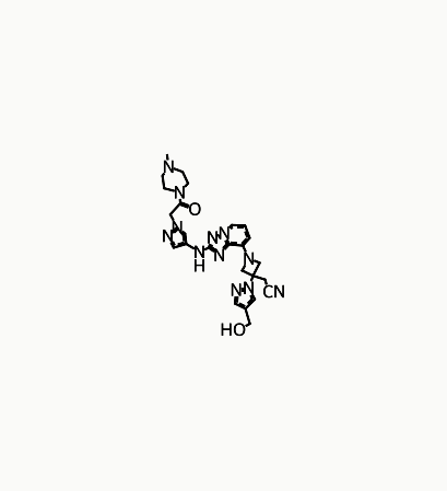 CN1CCN(C(=O)Cn2cc(Nc3nc4c(N5CC(CC#N)(n6cc(CO)cn6)C5)cccn4n3)cn2)CC1